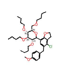 CCCCOC[C@H]1OC(c2cc(Cc3ccc(OC)cc3)c(Cl)c3c2OCC3)[C@H](OCCCC)[C@@H](OCCCC)[C@@H]1OCCCC